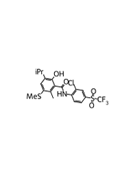 CSc1cc(C(C)C)c(O)c(C(=O)Nc2ccc(S(=O)(=O)C(F)(F)F)cc2Cl)c1C